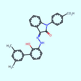 Cc1cc(C)cc(-c2cccc(NN=C3C(=O)N(c4ccc(C(=O)O)cc4)c4ccccc43)c2O)c1